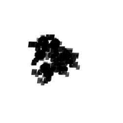 COc1cc(C(=O)O[C@H](C(=O)N/C(C(=O)N/C(=C\O)C(C)=O)=C2\[C@@H](OC(C)=O)[C@H](O)[C@@H]3CN23)[C@]2(C)CO2)c2cccc(C)c2c1.N#Cc1ccc(-c2csc(N3C(=O)C4CCC3CC4)n2)cc1.NC1CCC(C(=O)O)CC1